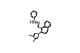 CC1=CC(c2ccc3ccccc3c2C=NNc2ccccc2)C=C1C